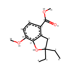 CCC1(CC)Cc2c(C(=O)OC)ccc(OC)c2O1